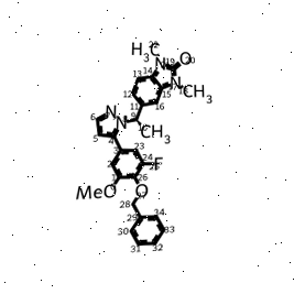 COc1cc(-c2ccnn2[C@H](C)c2ccc3c(c2)n(C)c(=O)n3C)cc(F)c1OCc1ccccc1